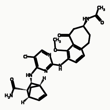 COc1c(Nc2ncc(Cl)c(N[C@H]3[C@@H](C(N)=O)[C@@H]4C=C[C@H]3C4)n2)ccc2c1C(=O)C[C@@H](NC(C)=O)CC2